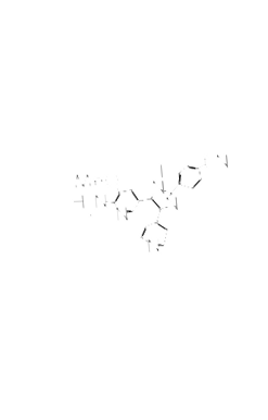 COc1cc(-c2[nH]c(-c3ccc(C#N)cc3)nc2-c2ccncc2)cnc1N